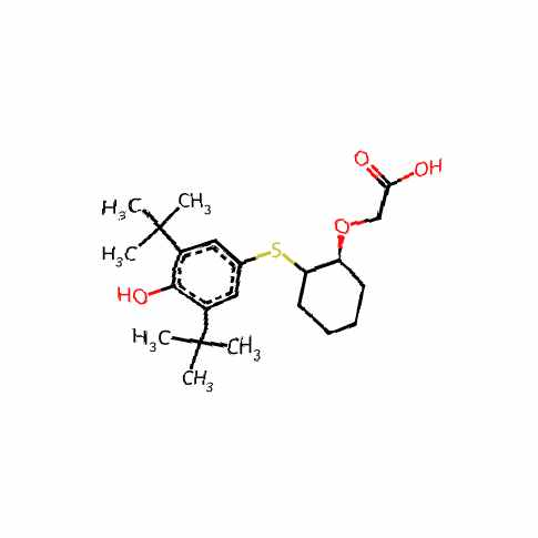 CC(C)(C)c1cc(SC2CCCC[C@@H]2OCC(=O)O)cc(C(C)(C)C)c1O